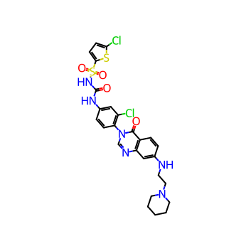 O=C(Nc1ccc(-n2cnc3cc(NCCN4CCCCC4)ccc3c2=O)c(Cl)c1)NS(=O)(=O)c1ccc(Cl)s1